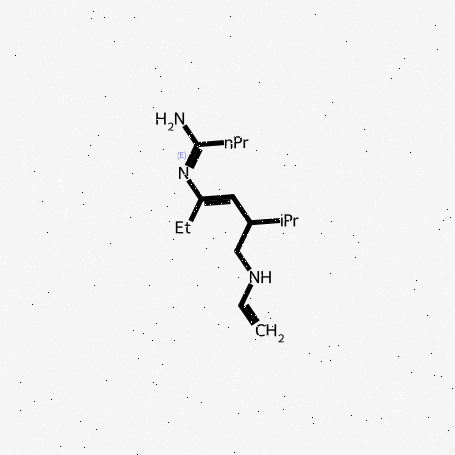 C=CNCC(C=C(CC)/N=C(/N)CCC)C(C)C